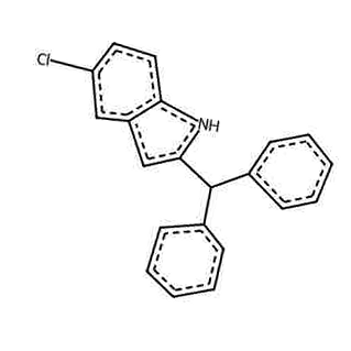 Clc1ccc2[nH]c(C(c3ccccc3)c3ccccc3)cc2c1